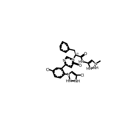 CN1C=C(NC(=O)[C@H](Cc2ccccc2)n2cnc(-c3cc(Cl)ccc3N3C=C(Cl)NN3)cc2=O)NN1